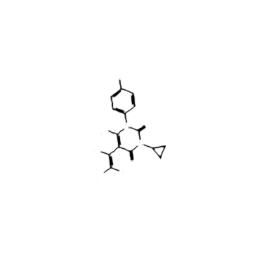 CC(=O)/C(C)=C(/O)c1c(C)n(-c2ccc(Br)cc2)c(=O)n(C2CC2)c1=O